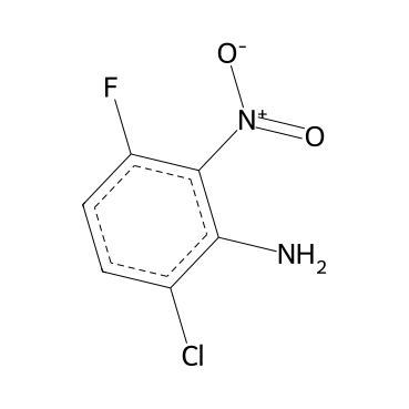 Nc1c(Cl)ccc(F)c1[N+](=O)[O-]